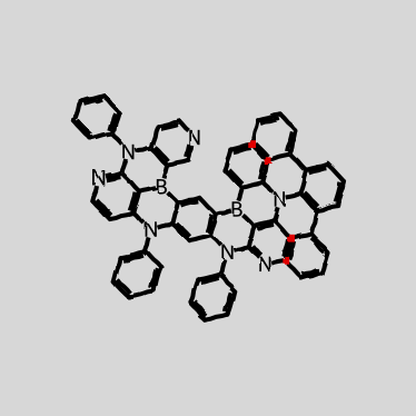 c1ccc(-c2cccc(-c3ccccc3)c2N2c3ccccc3B3c4cc5c(cc4N(c4ccccc4)c4nccc2c43)N(c2ccccc2)c2ccnc3c2B5c2cnccc2N3c2ccccc2)cc1